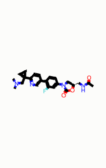 CC(=O)NC[C@H]1CN(c2ccc(-c3ccc(C4(CN(C)C)CC4)nc3)c(F)c2)C(=O)O1